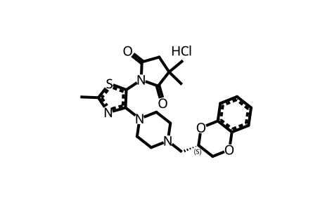 Cc1nc(N2CCN(C[C@H]3COc4ccccc4O3)CC2)c(N2C(=O)CC(C)(C)C2=O)s1.Cl